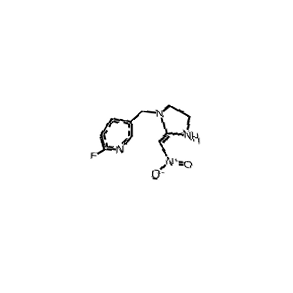 O=[N+]([O-])C=C1NCCN1Cc1ccc(F)nc1